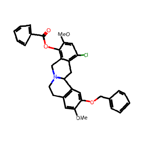 COc1cc2c(cc1OCc1ccccc1)C1Cc3c(Cl)cc(OC)c(OC(=O)c4ccccc4)c3CN1CC2